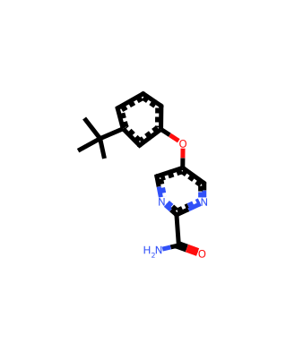 CC(C)(C)c1cccc(Oc2cnc(C(N)=O)nc2)c1